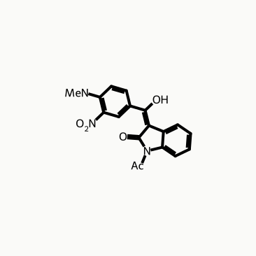 CNc1ccc(/C(O)=C2\C(=O)N(C(C)=O)c3ccccc32)cc1[N+](=O)[O-]